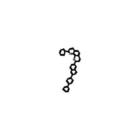 c1ccc(-c2ccc(-c3ccc4cc(-c5ccc6ccc7ccc(-c8ccccc8)nc7c6n5)ccc4c3)cc2)cc1